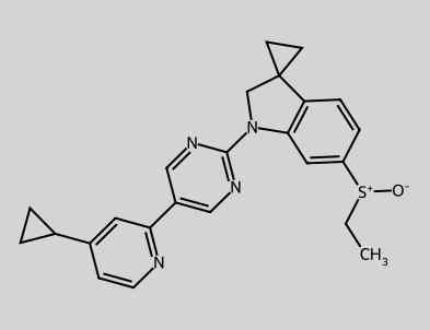 CC[S+]([O-])c1ccc2c(c1)N(c1ncc(-c3cc(C4CC4)ccn3)cn1)CC21CC1